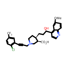 COc1ccc2nccc([C@@H](O)CC[C@@H]3CCN(CC#Cc4cc(C(F)(F)F)ccc4Cl)C[C@@H]3C(=O)O)c2c1